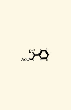 CCC(COC(C)=O)c1ccccc1